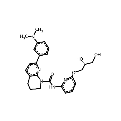 CN(C)c1cccc(-c2ccc3c(n2)N(C(=O)Nc2cccc(OC[C@H](O)CO)n2)CCC3)c1